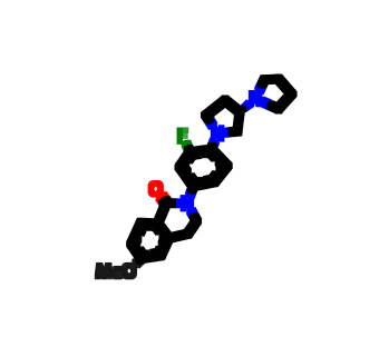 COc1ccc2c(c1)CCN(c1ccc(N3CC[C@@H](N4CCCC4)C3)c(F)c1)C2=O